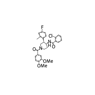 COc1ccc(C(=O)N2CC[C@H](NC(=O)c3ccccc3Cl)[C@H](c3ccc(F)cc3C)C2)cc1OC